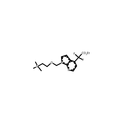 CCOC(=O)C(F)(F)c1ccnc2c1ccn2COCC[Si](C)(C)C